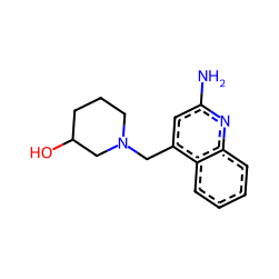 Nc1cc(CN2CCCC(O)C2)c2ccccc2n1